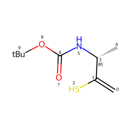 C=C(S)[C@@H](C)NC(=O)OC(C)(C)C